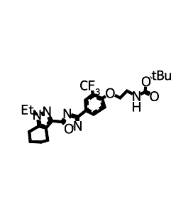 CCn1nc(-c2nc(-c3ccc(OCCNC(=O)OC(C)(C)C)c(C(F)(F)F)c3)no2)c2c1CCCC2